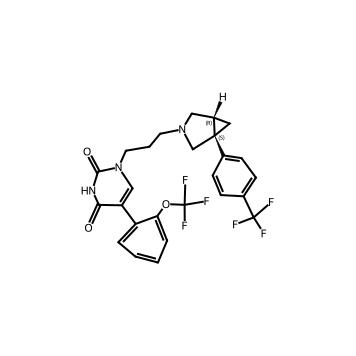 O=c1[nH]c(=O)n(CCCN2C[C@@H]3C[C@]3(c3ccc(C(F)(F)F)cc3)C2)cc1-c1ccccc1OC(F)(F)F